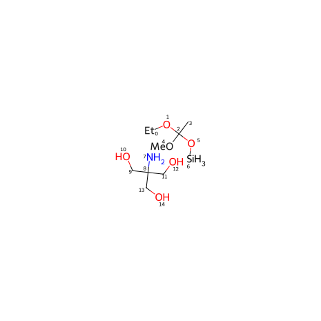 CCOC(C)(OC)O[SiH3].NC(CO)(CO)CO